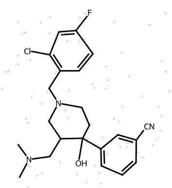 CN(C)CC1CN(Cc2ccc(F)cc2Cl)CCC1(O)c1cccc(C#N)c1